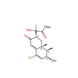 COC(=O)C(C)(O)[C@H]1C[C@@]2(C)C(=CC1=O)C(Cl)=C[C@H](OC(C)=O)[C@@H]2C